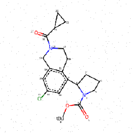 CC(C)(C)OC(=O)N1CCCC1c1cc(Cl)cc2c1CCN(C(=O)C1CC1)C2